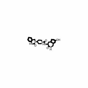 O=C1NCc2cc(O)ccc2CC1NC(=O)N1CCC(N2Cc3ccccc3NC2=O)CC1